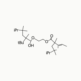 CC=C(C)C(C)(CC(C)(C)C(C)C)C(=O)OCCOC(O)C(C)(CC(C)(C)C(C)C)C(C)(C)C